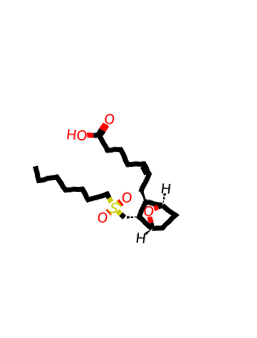 CCCCCCCS(=O)(=O)C[C@@H]1[C@@H](C/C=C\CCCC(=O)O)[C@H]2CC[C@@H]1O2